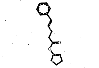 O=C(CCC=Cc1ccccc1)OC1=CCCC1